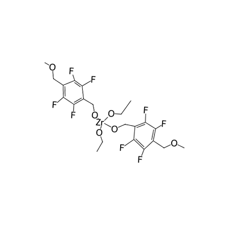 CC[O][Zr]([O]CC)([O]Cc1c(F)c(F)c(COC)c(F)c1F)[O]Cc1c(F)c(F)c(COC)c(F)c1F